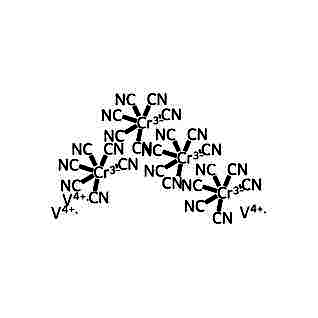 N#[C][Cr-3]([C]#N)([C]#N)([C]#N)([C]#N)[C]#N.N#[C][Cr-3]([C]#N)([C]#N)([C]#N)([C]#N)[C]#N.N#[C][Cr-3]([C]#N)([C]#N)([C]#N)([C]#N)[C]#N.N#[C][Cr-3]([C]#N)([C]#N)([C]#N)([C]#N)[C]#N.[V+4].[V+4].[V+4]